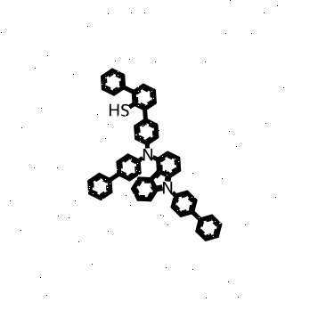 Sc1c(-c2ccccc2)cccc1-c1ccc(N(c2ccc(-c3ccccc3)cc2)c2cccc3c2c2ccccc2n3-c2ccc(-c3ccccc3)cc2)cc1